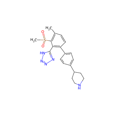 Cc1ccc(-c2ccc(C3CCNCC3)cc2)c(-c2nnn[nH]2)c1S(C)(=O)=O